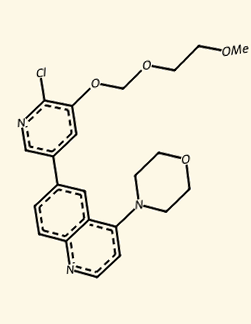 COCCOCOc1cc(-c2ccc3nccc(N4CCOCC4)c3c2)cnc1Cl